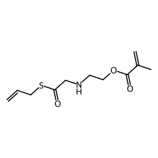 C=CCSC(=O)CNCCOC(=O)C(=C)C